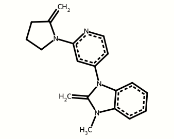 C=C1CCCN1c1cc(N2C(=C)N(C)c3ccccc32)ccn1